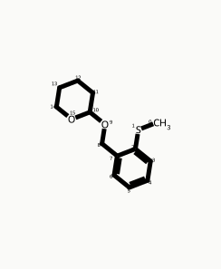 CSc1ccccc1COC1CCCCO1